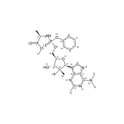 COC(=O)[C@@H](C)NP(=S)(OC[C@H]1O[C@@H](n2cnc3c(N(C)C)nc(C)nc32)[C@](C)(F)[C@@H]1O)Oc1ccccc1